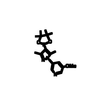 COc1cncc(-n2nc(C)c(B3OC(C)(C)C(C)(C)O3)c2C)c1